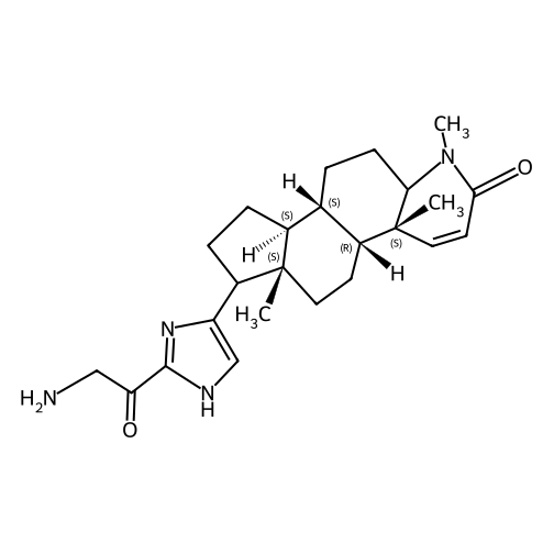 CN1C(=O)C=C[C@@]2(C)C1CC[C@@H]1[C@H]2CC[C@]2(C)C(c3c[nH]c(C(=O)CN)n3)CC[C@@H]12